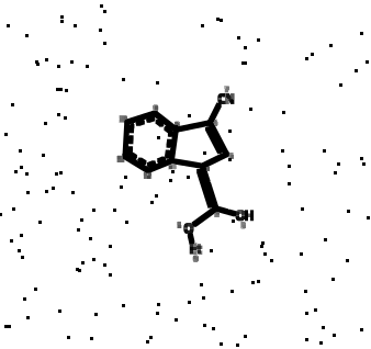 CCOC(O)=C1C=C(C#N)c2ccccc21